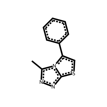 Cc1nnc2scc(-c3ccccc3)n12